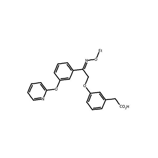 CCO/N=C(\COc1cccc(CC(=O)O)c1)c1cccc(Oc2ccccn2)c1